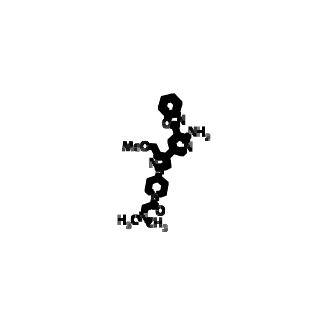 COCc1nn(C2CCN(C(=O)CN(C)C)CC2)cc1-c1cnc(N)c(-c2nc3ccccc3o2)c1